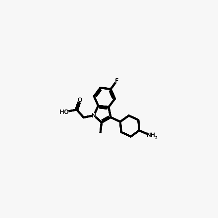 Cc1c(C2CCC(N)CC2)c2cc(F)ccc2n1CC(=O)O